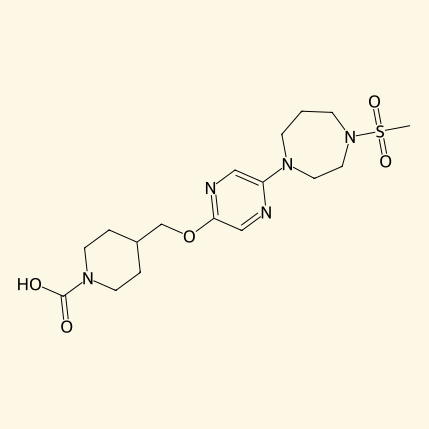 CS(=O)(=O)N1CCCN(c2cnc(OCC3CCN(C(=O)O)CC3)cn2)CC1